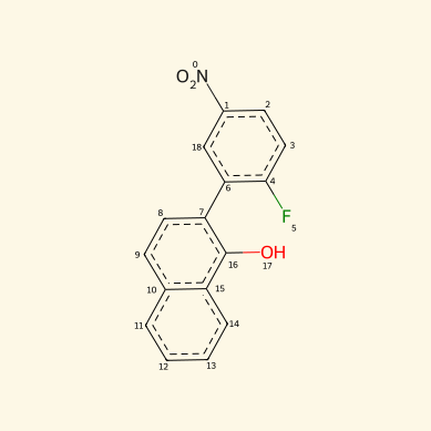 O=[N+]([O-])c1ccc(F)c(-c2ccc3ccccc3c2O)c1